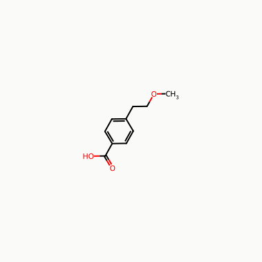 COCCc1ccc(C(=O)O)cc1